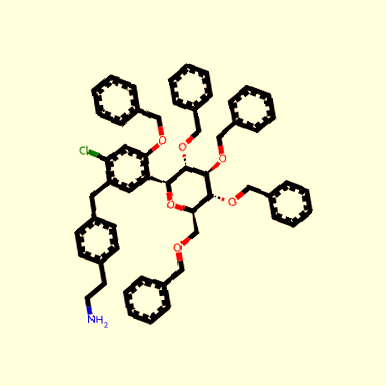 NCCc1ccc(Cc2cc([C@@H]3O[C@H](COCc4ccccc4)[C@@H](OCc4ccccc4)[C@H](OCc4ccccc4)[C@H]3OCc3ccccc3)c(OCc3ccccc3)cc2Cl)cc1